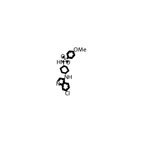 COc1ccc(S(=O)(=O)N[C@H]2CC[C@@H](Nc3ccnc4cc(Cl)ccc34)CC2)cc1